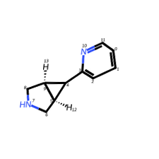 c1ccc(C2[C@H]3CNC[C@@H]23)nc1